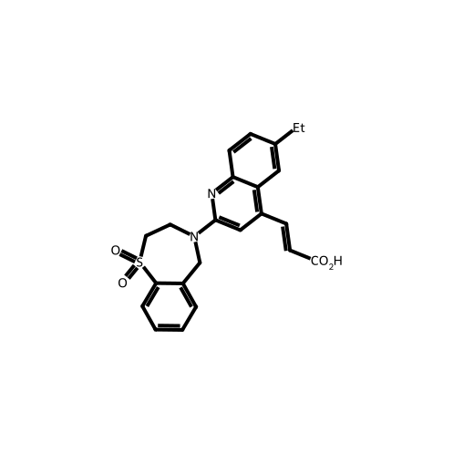 CCc1ccc2nc(N3CCS(=O)(=O)c4ccccc4C3)cc(C=CC(=O)O)c2c1